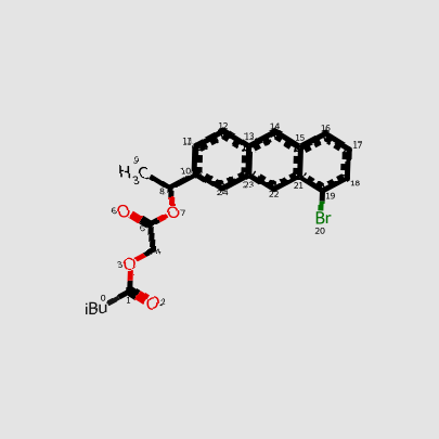 CCC(C)C(=O)OCC(=O)OC(C)c1ccc2cc3cccc(Br)c3cc2c1